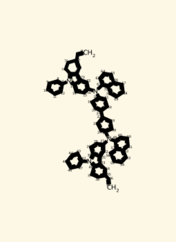 C=CC1=Cc2c(n(-c3ccccc3)c3ccc(N(c4ccc(-c5ccc(N(c6ccc7c(c6)c6cc(C=C)ccc6n7-c6ccccc6)c6cccc7ccccc67)cc5)cc4)c4cccc5ccccc45)cc23)CC1